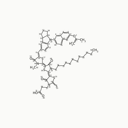 C=C(C)Oc1ccc2cc(N3c4ccc(/C=c5\s/c(=c6/s/c(=C7/SC(=S)N(CCC(=O)O)C7=O)n(CCCCCCCCCCCC)c6=O)n(C)c5=O)cc4C4CCCC43)ccc2c1